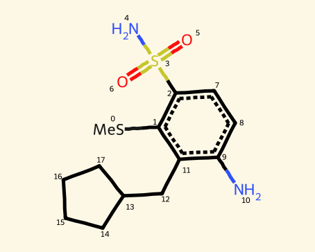 CSc1c(S(N)(=O)=O)ccc(N)c1CC1CCCC1